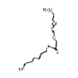 COCCOCCOCC(=O)OCCCCCCS